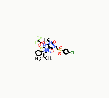 CC(C)=CCN1c2c(n(C)c(=O)n(CCS(=O)(=O)c3ccc(Cl)cc3)c2=O)N(OC(=O)C(F)(F)F)C1SC1(CN)CCCCC1